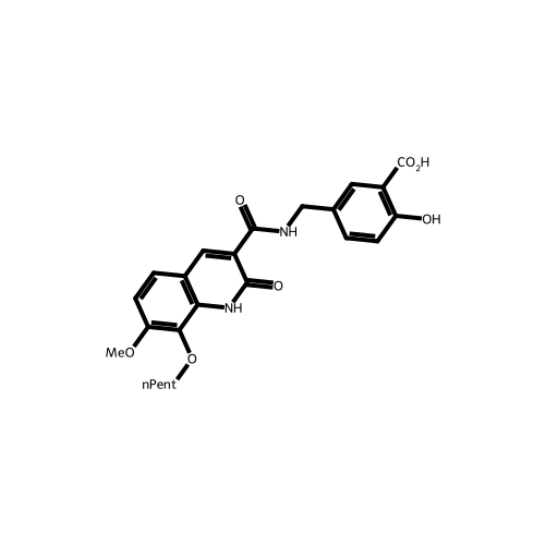 CCCCCOc1c(OC)ccc2cc(C(=O)NCc3ccc(O)c(C(=O)O)c3)c(=O)[nH]c12